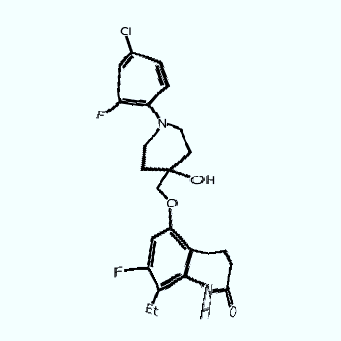 CCc1c(F)cc(OCC2(O)CCN(c3ccc(Cl)cc3F)CC2)c2c1NC(=O)CC2